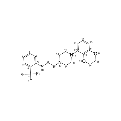 FC(F)(F)c1ccccc1SCCN1CCN(c2cccc3c2OCCO3)CC1